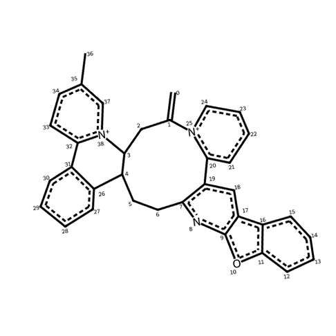 C=C1CC2C(CCc3nc4oc5ccccc5c4cc3-c3cccc[n+]31)c1ccccc1-c1ccc(C)c[n+]12